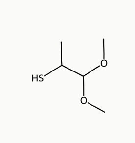 COC(OC)C(C)S